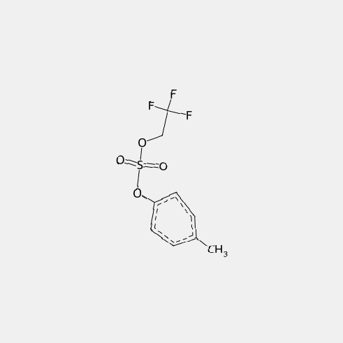 Cc1ccc(OS(=O)(=O)OCC(F)(F)F)cc1